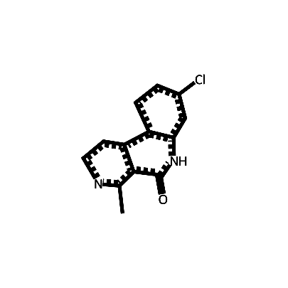 Cc1nccc2c1c(=O)[nH]c1cc(Cl)ccc12